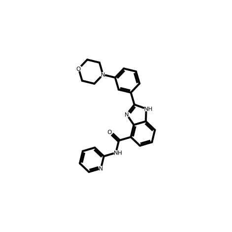 O=C(Nc1ccccn1)c1cccc2[nH]c(-c3cccc(N4CCOCC4)c3)nc12